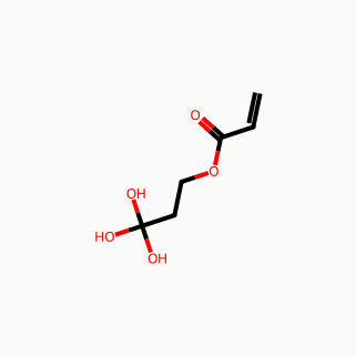 C=CC(=O)OCCC(O)(O)O